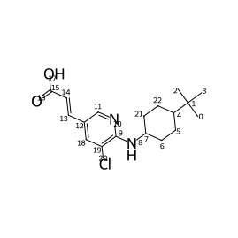 CC(C)(C)C1CCC(Nc2ncc(C=CC(=O)O)cc2Cl)CC1